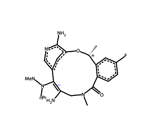 CCCN(NC)/C1=C(\N)CN(C)C(=O)c2ccc(F)cc2[C@@H](C)Oc2cc1cnc2N